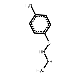 CPNSc1ccc(N)cc1